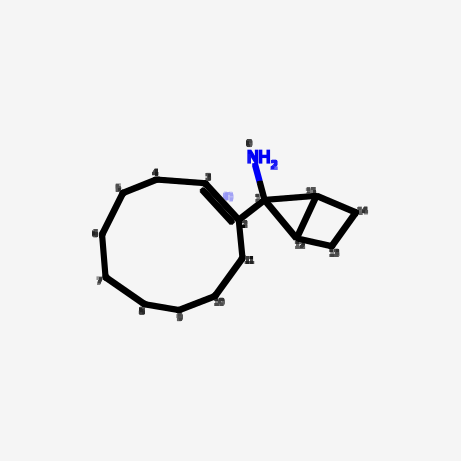 NC1(/C2=C/CCCCCCCC2)C2CCC21